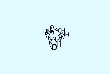 Cc1cc(Nc2nc(N3CC4C[C@@]4(NS(=O)(=O)C4CC4)C3)nc3ncccc23)n[nH]1